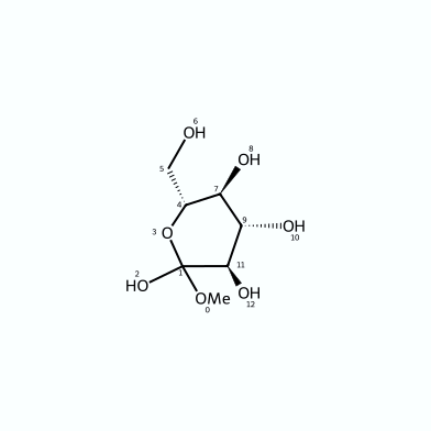 [CH2]OC1(O)O[C@H](CO)[C@@H](O)[C@H](O)[C@H]1O